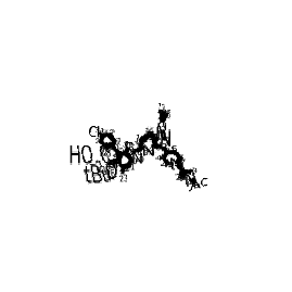 CC(=O)N1CC(N2CCC(c3nn(C4CC4)c4ccc(-c5nc6cc(C)c([C@H](OC(C)(C)C)C(=O)O)c(-c7ccc(Cl)cc7)c6s5)nc34)CC2)C1